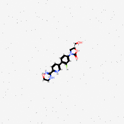 O=C1O[C@@H](CO)CN1c1ccc(-c2ccc(C3=NOCCN3)nc2)c(F)c1